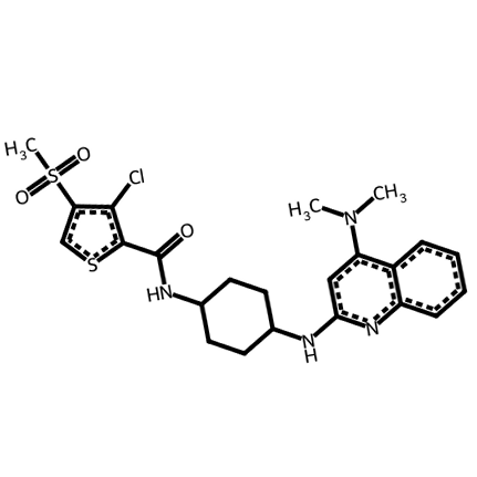 CN(C)c1cc(NC2CCC(NC(=O)c3scc(S(C)(=O)=O)c3Cl)CC2)nc2ccccc12